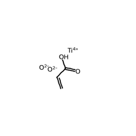 C=CC(=O)O.[O-2].[O-2].[Ti+4]